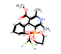 COC(=O)C1=C(C)NC(C)=C(P2(=O)OCCCO2)C1c1ccccc1OC(F)F